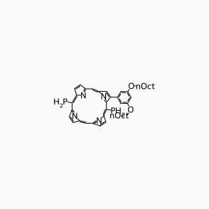 CCCCCCCCOc1cc(OCCCCCCCC)cc(C2=CC3=CC4=NC(=C(P)C5=NC(=CC6=NC(=C(P)C2=N3)C=C6)C=C5)C=C4)c1